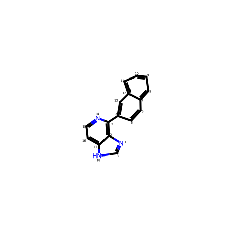 [c]1nc2c(-c3ccc4ccccc4c3)nccc2[nH]1